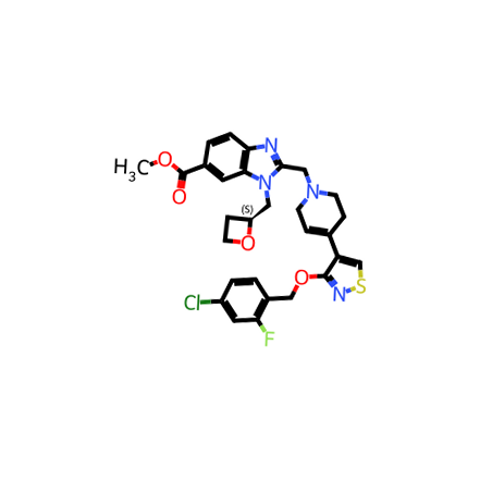 COC(=O)c1ccc2nc(CN3CC=C(c4csnc4OCc4ccc(Cl)cc4F)CC3)n(C[C@@H]3CCO3)c2c1